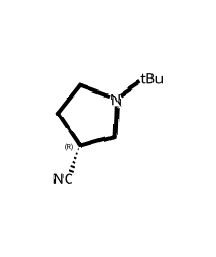 CC(C)(C)N1CC[C@@H](C#N)C1